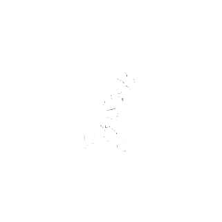 c1ccc(-c2nc(-c3ccccc3)nc(-c3ccc4c(ccc5sc(-c6cccc7ccccc67)nc54)c3)n2)cc1